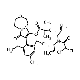 C=CCN(CC=C)C(=O)C(Cl)Cl.CCc1cc(C)cc(CC)c1-c1c(OC(=O)C(C)(C)C)n2n(c1=O)CCOCC2